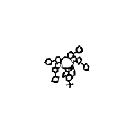 Cc1ccc(-c2ccccc2)cc1N1C2=C[C@H]3C(N(c4cc(C5=CC=CCC5)ccc4C)c4cc(-c5ccccc5)ccc4Cc4ccc(C5C=CC=CC5)cc41)C31C=Cc3cc(C(C)(C)C)cc4ccc2c1c34